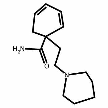 NC(=O)C1(CCN2CCCCC2)C=CC=CC1